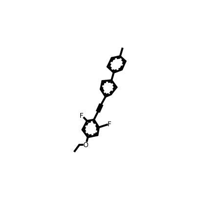 CCOc1cc(F)c(C#Cc2ccc(-c3ccc(C)cc3)cc2)c(F)c1